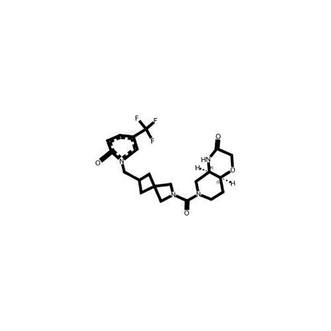 O=C1CO[C@H]2CCN(C(=O)N3CC4(CC(Cn5cc(C(F)(F)F)ccc5=O)C4)C3)C[C@H]2N1